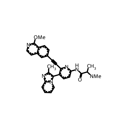 CNC(C)C(=O)Nc1ccc(-c2c(C)nc3ccccn23)c(C#Cc2ccc3c(OC)nccc3c2)n1